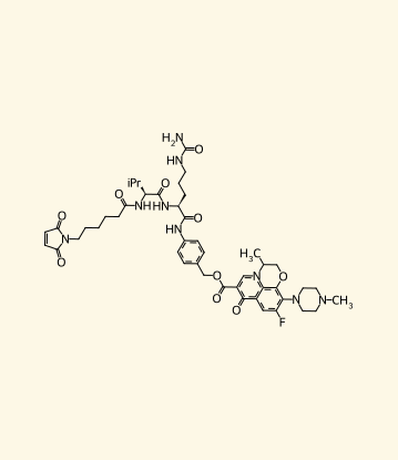 CC(C)[C@H](NC(=O)CCCCCN1C(=O)C=CC1=O)C(=O)N[C@@H](CCCNC(N)=O)C(=O)Nc1ccc(COC(=O)c2cn3c4c(c(N5CCN(C)CC5)c(F)cc4c2=O)OCC3C)cc1